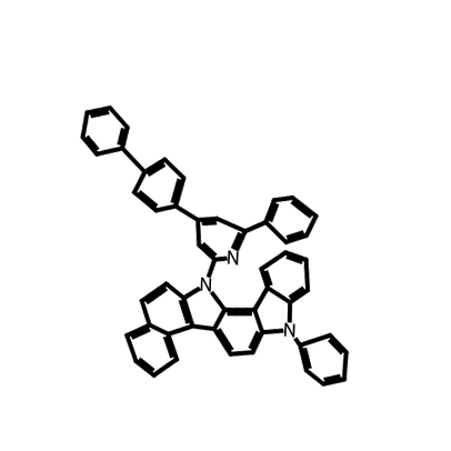 c1ccc(-c2ccc(-c3cc(-c4ccccc4)nc(-n4c5ccc6ccccc6c5c5ccc6c(c7ccccc7n6-c6ccccc6)c54)c3)cc2)cc1